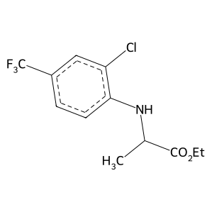 CCOC(=O)C(C)Nc1ccc(C(F)(F)F)cc1Cl